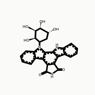 O=C1NC(=O)c2c1c1c3ccccc3[nH]c1c1c2c2ccccc2n1C1C[C@@H](O)[C@@H](O)[C@H](O)[C@@H]1O